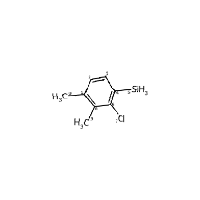 Cc1ccc([SiH3])c(Cl)c1C